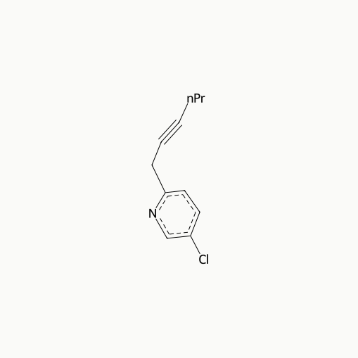 CCCC#CCc1ccc(Cl)cn1